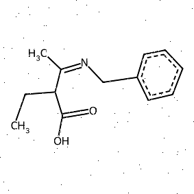 CCC(C(=O)O)C(C)=NCc1ccccc1